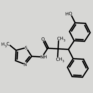 Cc1cnc(NC(=O)C(C)(C)C(c2ccccc2)c2cccc(O)c2)s1